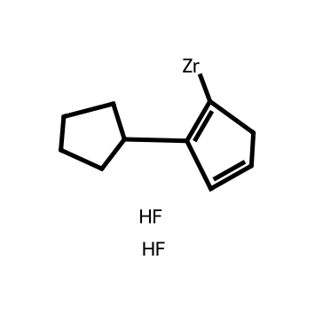 F.F.[Zr][C]1=C(C2CCCC2)C=CC1